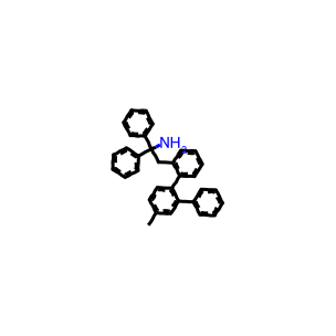 Cc1ccc(-c2ccccc2CC(N)(c2ccccc2)c2ccccc2)c(-c2ccccc2)c1